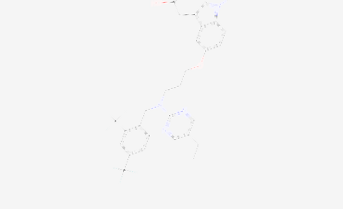 CCc1cnc(N(CCCOc2ccc3c(c2)c(CC(=O)O)cn3C)Cc2ccc(C(F)(F)F)cc2C(F)(F)F)nc1